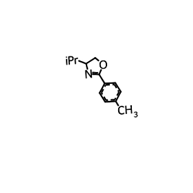 Cc1ccc(C2=NC(C(C)C)CO2)cc1